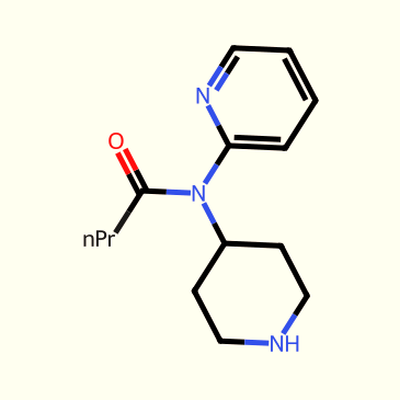 CCCC(=O)N(c1ccccn1)C1CCNCC1